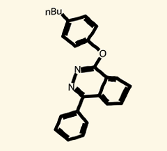 CCCCc1ccc(Oc2nnc(-c3ccccc3)c3ccccc23)cc1